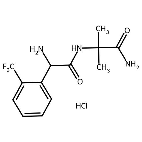 CC(C)(NC(=O)C(N)c1ccccc1C(F)(F)F)C(N)=O.Cl